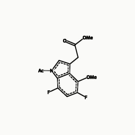 COC(=O)Cc1cn(C(C)=O)c2c(F)cc(F)c(OC)c12